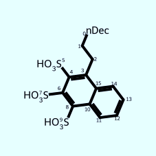 CCCCCCCCCCCCc1c(S(=O)(=O)O)c(S(=O)(=O)O)c(S(=O)(=O)O)c2ccccc12